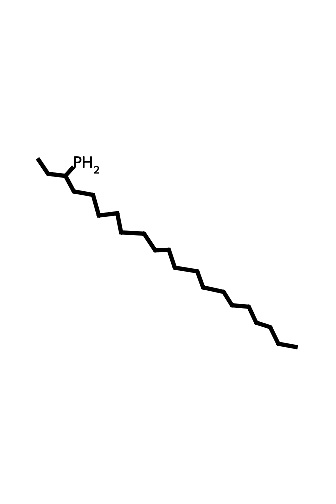 CCCCCCCCCCCCCCCCCCC(P)CC